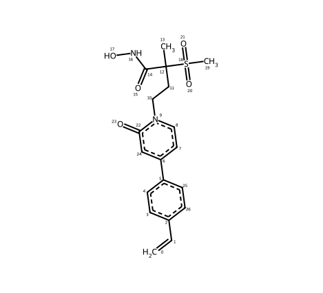 C=Cc1ccc(-c2ccn(CCC(C)(C(=O)NO)S(C)(=O)=O)c(=O)c2)cc1